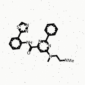 CNCCN(C)c1cc(C(=O)Nc2ccccc2-c2nncs2)nc(-c2ccccc2)n1